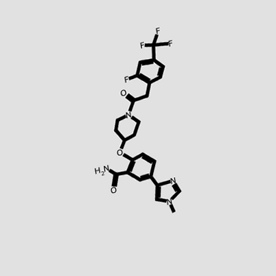 Cn1cnc(-c2ccc(OC3CCN(C(=O)Cc4ccc(C(F)(F)F)cc4F)CC3)c(C(N)=O)c2)c1